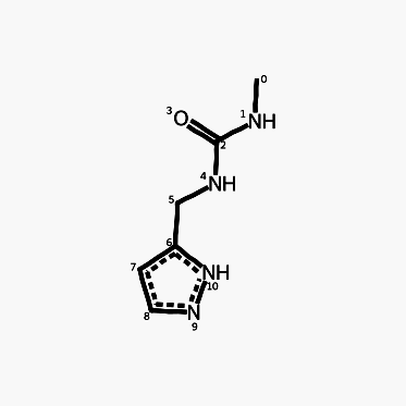 CNC(=O)NCc1ccn[nH]1